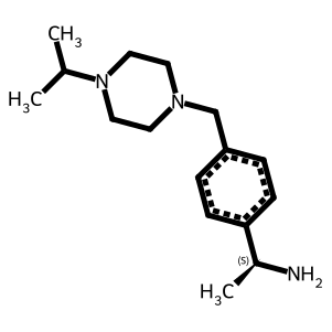 CC(C)N1CCN(Cc2ccc([C@H](C)N)cc2)CC1